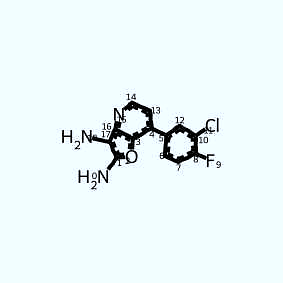 Nc1oc2c(-c3ccc(F)c(Cl)c3)ccnc2c1N